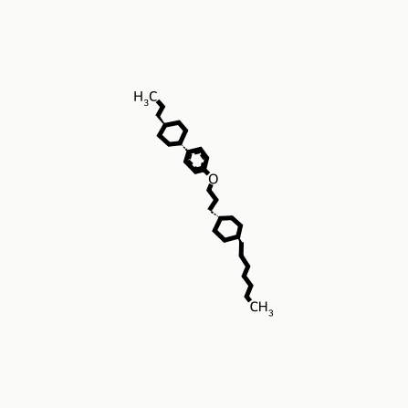 CCCCCCC[C@H]1CC[C@H](CCCOc2ccc([C@H]3CC[C@H](CCC)CC3)cc2)CC1